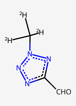 [2H]C([2H])([2H])n1nnc(C=O)n1